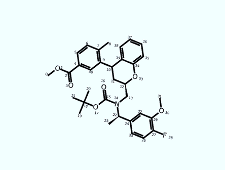 COC(=O)c1ccc(C)c(C2C[C@H](CN(C(=O)OC(C)(C)C)[C@H](C)c3ccc(F)c(OC)c3)Oc3ccccc32)c1